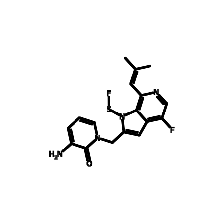 CC(C)=Cc1ncc(F)c2cc(Cn3cccc(N)c3=O)n(SF)c12